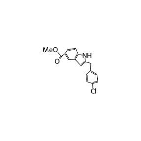 COC(=O)c1ccc2[nH]c(Cc3ccc(Cl)cc3)cc2c1